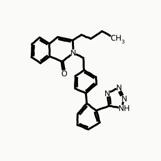 CCCCc1cc2ccccc2c(=O)n1Cc1ccc(-c2ccccc2-c2nnn[nH]2)cc1